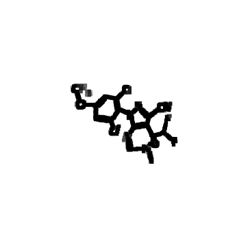 CN(C)/C=N\c1c(C(=O)C(F)F)c(C#N)nn1-c1c(Cl)cc(OC(F)(F)F)cc1Cl